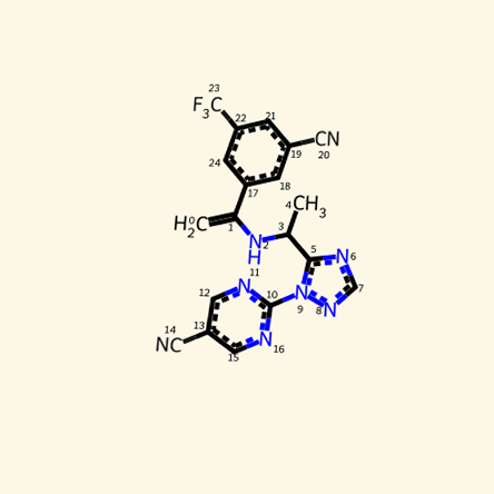 C=C(NC(C)c1ncnn1-c1ncc(C#N)cn1)c1cc(C#N)cc(C(F)(F)F)c1